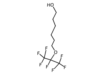 OCCCCCCOC(F)(C(F)(F)F)C(F)(F)F